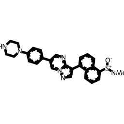 CN[S+]([O-])c1cccc2c(-c3cnn4cc(-c5ccc(N6CCNCC6)cc5)cnc34)cccc12